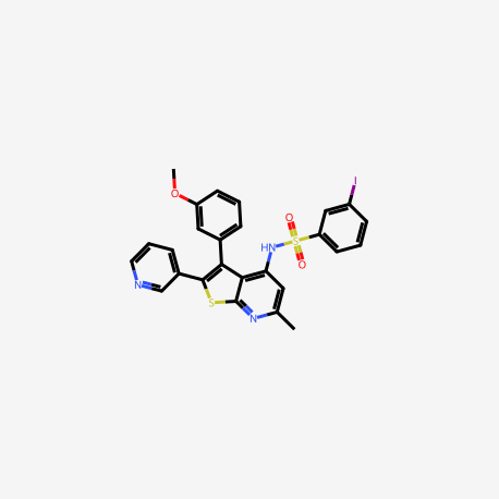 COc1cccc(-c2c(-c3cccnc3)sc3nc(C)cc(NS(=O)(=O)c4cccc(I)c4)c23)c1